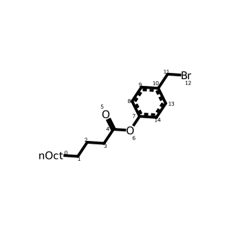 CCCCCCCCCCCC(=O)Oc1ccc(CBr)cc1